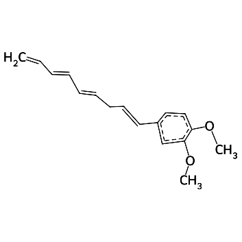 C=CC=CC=CCC=Cc1ccc(OC)c(OC)c1